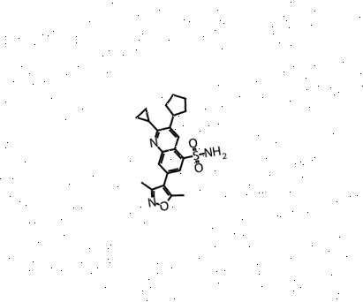 Cc1noc(C)c1-c1cc(S(N)(=O)=O)c2cc(C3CCCC3)c(C3CC3)nc2c1